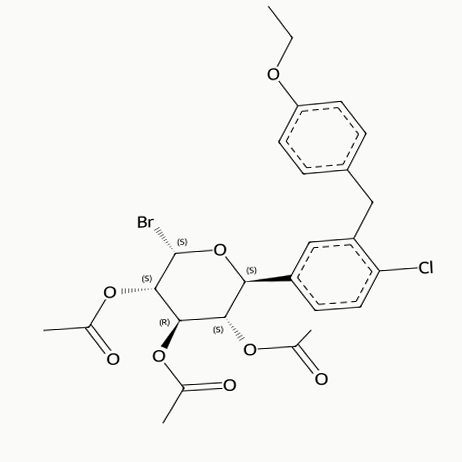 CCOc1ccc(Cc2cc([C@@H]3O[C@@H](Br)[C@@H](OC(C)=O)[C@H](OC(C)=O)[C@H]3OC(C)=O)ccc2Cl)cc1